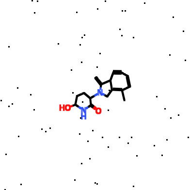 C=C1C2C#CC=CC(C)=C2CN1C1CCC(O)NC1=O